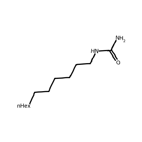 CCCCCCCCCCCCNC(N)=O